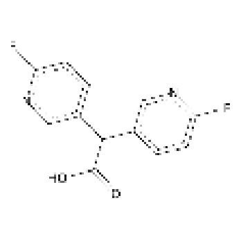 O=C(O)C(c1ccc(F)nc1)c1ccc(F)nc1